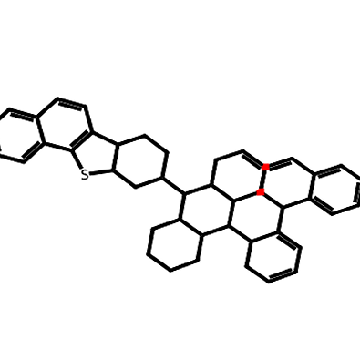 C1=CCC(C2C3CC=CCC3C(C3CCC4c5ccc6ccccc6c5SC4C3)C3CCCCC32)C(C2CC=Cc3ccccc32)=C1